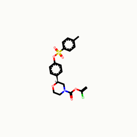 C=C(Cl)OC(=O)N1CCO[C@@H](c2ccc(OS(=O)(=O)c3ccc(C)cc3)cc2)C1